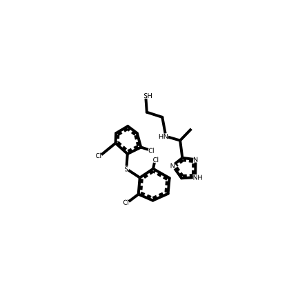 CC(NCCS)c1nc[nH]n1.Clc1cccc(Cl)c1Sc1c(Cl)cccc1Cl